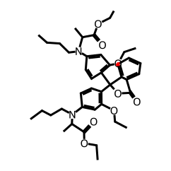 CCCCN(c1ccc(C2(c3ccc(N(CCCC)C(C)C(=O)OCC)cc3OCC)OC(=O)c3ccccc32)c(OCC)c1)C(C)C(=O)OCC